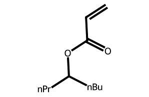 C=CC(=O)OC(CCC)CCCC